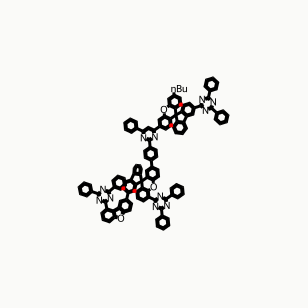 CCCCc1ccc2c(c1)Oc1cc(-c3cc(-c4ccccc4)nc(-c4ccc(-c5ccc6c(c5)C5(c7ccccc7-c7ccc(-c8ccc9oc%10cccc(-c%11nc(-c%12ccccc%12)nc(-c%12ccccc%12)n%11)c%10c9c8)cc75)c5cccc(-c7nc(-c8ccccc8)nc(-c8ccccc8)n7)c5O6)cc4)n3)ccc1C21c2ccccc2-c2cc(-c3nc(-c4ccccc4)nc(-c4ccccc4)n3)ccc21